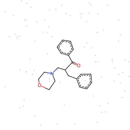 O=C(c1ccccc1)C(Cc1ccccc1)CN1CCOCC1